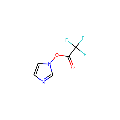 O=C(On1ccnc1)C(F)(F)F